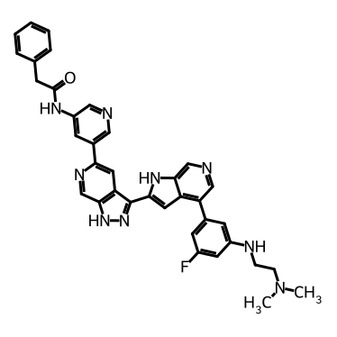 CN(C)CCNc1cc(F)cc(-c2cncc3[nH]c(-c4n[nH]c5cnc(-c6cncc(NC(=O)Cc7ccccc7)c6)cc45)cc23)c1